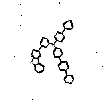 c1ccc(-c2ccc(-c3ccc(N(c4ccc(-c5ccccc5)cc4)c4cccc(-c5ccc6oc7ccccc7c6c5)c4)cc3)cc2)cc1